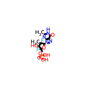 Cc1nc2c(ncn2[C@@H]2O[C@](F)(COP(=O)(O)O)[C@@H](O)[C@@]2(C)F)c(=O)[nH]1